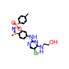 Cc1ccc(S(=O)(=O)N=S(C)c2ccc(Nc3ncc(Br)c(NCCO)n3)cc2)cc1